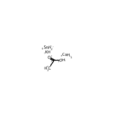 [CH2]C(=O)O.[CaH2].[KH].[SnH2]